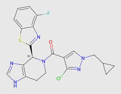 O=C(c1cn(CC2CC2)nc1Cl)N1CCc2[nH]cnc2[C@H]1c1nc2c(F)cccc2s1